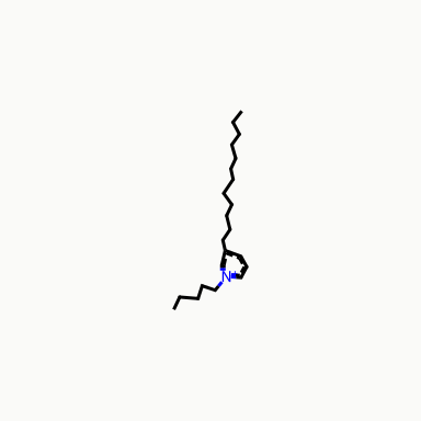 CCCCCCCCCCCCc1ccc[n+](CCCCC)c1